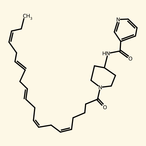 CC/C=C\CC=CCC=CC/C=C\C/C=C\CCCC(=O)N1CCC(NC(=O)c2cccnc2)CC1